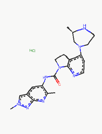 Cc1nc2nn(C)cc2cc1NC(=O)N1CCc2c(N3CCN[C@H](C)C3)ccnc21.Cl